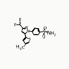 Cc1csc(-c2cc(C(F)F)nn2-c2ccc(S(N)(=O)=O)cc2)c1